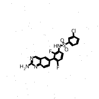 Nc1ncc2cc(-c3c(F)ccc(NS(=O)(=O)c4cccc(Cl)c4)c3F)ccc2n1